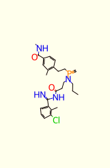 C#P(CCc1ccc(C(=O)NC)cc1C)N(CCC)CCC(=O)NC(=N)c1cccc(Cl)c1C